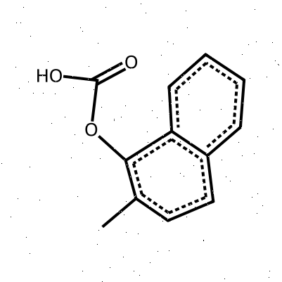 Cc1ccc2ccccc2c1OC(=O)O